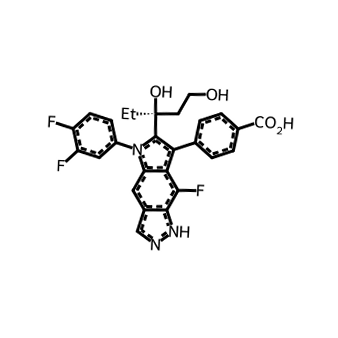 CC[C@](O)(CCO)c1c(-c2ccc(C(=O)O)cc2)c2c(F)c3[nH]ncc3cc2n1-c1ccc(F)c(F)c1